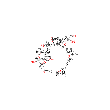 C=C1C[C@@H]2CCC(=O)C[C@H]3O[C@H]4[C@@H](O)[C@H]5C[C@@H](CC(=O)C[C@H]6C(C[C@H]7O[C@@H](CC[C@@H]1O2)C[C@@H](C)C7=C)O[C@H](C[C@H](O)CO)[C@@H]6OC)OC[C@@H]5O[C@H]4[C@H]3O